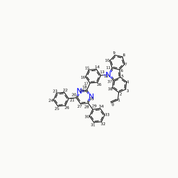 C=Cc1ccc2c3ccccc3n(-c3cccc(-c4nc(-c5ccccc5)cc(-c5ccccc5)n4)c3)c2c1